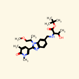 COC[C@H](C)n1c(-c2cc(C)c(=O)n(C)c2)nc2ccc(CNC(C(=O)OC(C)(C)C)C(C)O)cc21